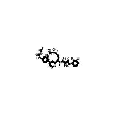 Cc1c(C(=O)N[C@H]2CCC[C@@H](C)C(=O)Nc3cc(NC(=O)OCF)ccc3-c3ccnc2c3)nnn1-c1cccc(Cl)c1F